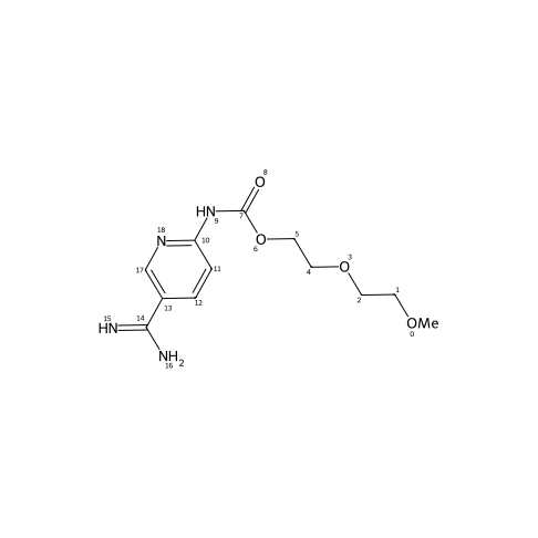 COCCOCCOC(=O)Nc1ccc(C(=N)N)cn1